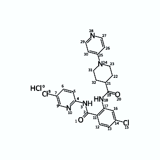 Cl.O=C(Nc1ccc(Cl)cn1)c1ccc(Cl)cc1NC(=O)C1CCN(c2ccncc2)CC1